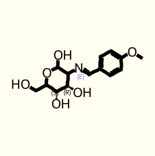 COc1ccc(/C=N/C2C(O)OC(CO)[C@@H](O)[C@@H]2O)cc1